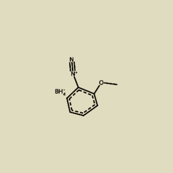 COc1ccccc1[N+]#N.[BH4-]